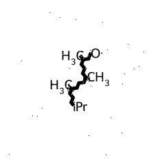 CC(C)CCC[C@@H](C)CCC[C@@H](C)CCCC(C)CC[O]